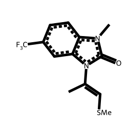 CSC=C(C)n1c(=O)n(C)c2ccc(C(F)(F)F)cc21